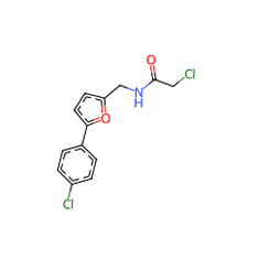 O=C(CCl)NCc1ccc(-c2ccc(Cl)cc2)o1